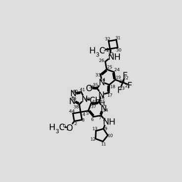 COC1CC(c2cc(NC3CCCC3)nc(-n3cc4c(C(F)(F)F)cc(CNC5(C)CCC5)cn4c3=O)c2)(c2nncn2C)C1